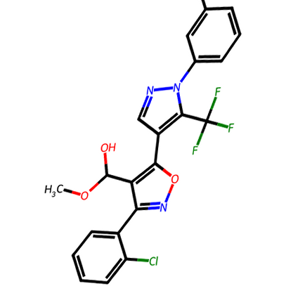 COC(O)c1c(-c2ccccc2Cl)noc1-c1cnn(-c2cccc(F)c2)c1C(F)(F)F